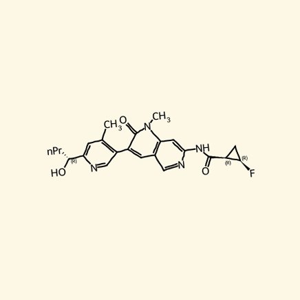 CCC[C@@H](O)c1cc(C)c(-c2cc3cnc(NC(=O)[C@H]4C[C@H]4F)cc3n(C)c2=O)cn1